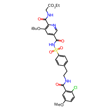 CCOC(=O)CNC(=O)c1ncc(C(=O)NS(=O)(=O)c2ccc(CCNC(=O)c3cc(OC)ccc3Cl)cc2)cc1OCC(C)C